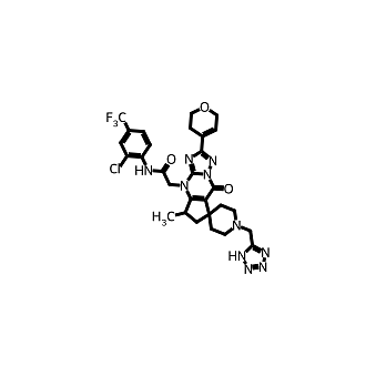 CC1CC2(CCN(Cc3nnn[nH]3)CC2)c2c1n(CC(=O)Nc1ccc(C(F)(F)F)cc1Cl)c1nc(C3=CCOCC3)nn1c2=O